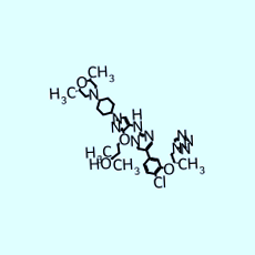 C[C@@H]1CN([C@H]2CC[C@H](n3cc(Nc4ncc(-c5ccc(Cl)c(O[C@@H](C)Cn6cnnn6)c5)cn4)c(OCCC(C)(C)O)n3)CC2)C[C@H](C)O1